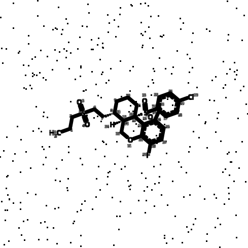 CCCS(=O)(=O)CC[C@@H]1CCC[C@@]2(S(=O)(=O)c3ccc(Cl)cc3)c3c(F)ccc(F)c3OC[C@@H]12